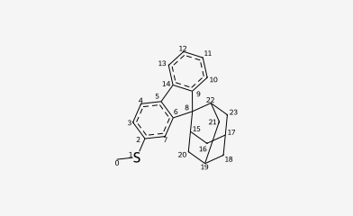 CSc1ccc2c(c1)C1(c3ccccc3-2)C2CC3CC(C2)CC1C3